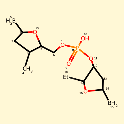 BC1CC(C)C(COP(=O)(O)OC2CC(B)OC2CC)O1